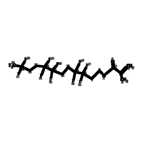 C=C(C)C(=O)OCCC(F)(F)C(F)(F)CCC(F)(F)C(F)(F)CCC(F)(F)C(F)(F)F